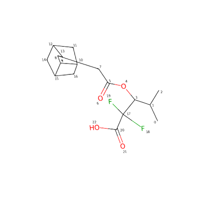 CC(C)C(OC(=O)CC1=C2C3CC(C1)CC2C3)C(F)(F)C(=O)O